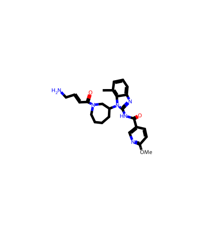 COc1ccc(C(=O)Nc2nc3cccc(C)c3n2C2CCCCN(C(=O)/C=C/CN)C2)cn1